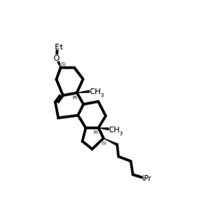 CCO[C@H]1CC[C@@]2(C)C(=CCC3C2CC[C@@]2(C)C3CC[C@@H]2CCCCC(C)C)C1